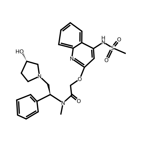 CN(C(=O)COc1cc(NS(C)(=O)=O)c2ccccc2n1)[C@H](CN1CC[C@H](O)C1)c1ccccc1